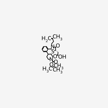 C=C(C)CCN1C(=O)[C@H](CC(=O)O)SC1c1ccccc1C1CCN(C(=O)OC(C)(C)C)CC1